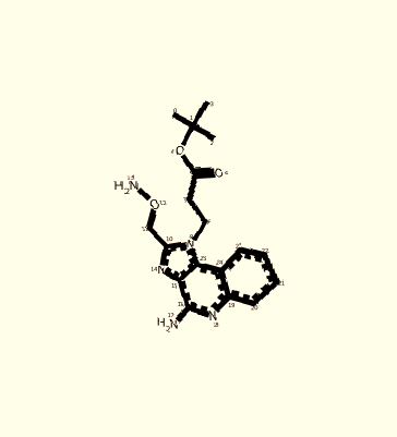 CC(C)(C)OC(=O)CCn1c(CON)nc2c(N)nc3ccccc3c21